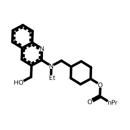 CCCC(=O)OC1CCC(CN(CC)c2nc3ccccc3cc2CO)CC1